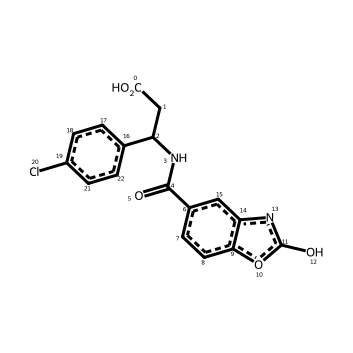 O=C(O)CC(NC(=O)c1ccc2oc(O)nc2c1)c1ccc(Cl)cc1